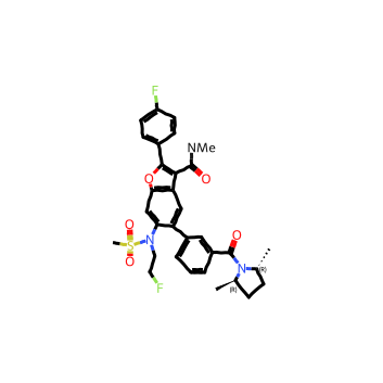 CNC(=O)c1c(-c2ccc(F)cc2)oc2cc(N(CCF)S(C)(=O)=O)c(-c3cccc(C(=O)N4[C@H](C)CC[C@H]4C)c3)cc12